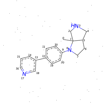 CC12CNCC1CCN2c1ccc(-c2cccnc2)cc1